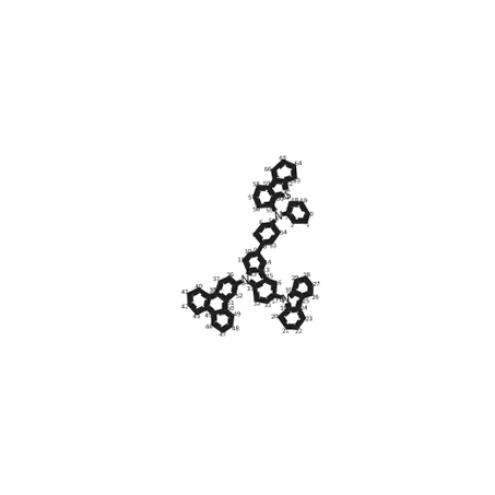 c1ccc(N(c2ccc(-c3ccc4c(c3)c3cc(-n5c6ccccc6c6ccccc65)ccc3n4-c3ccc4c5ccccc5c5ccccc5c4c3)cc2)c2cccc3c2sc2ccccc23)cc1